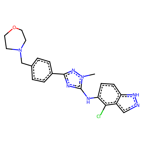 Cn1nc(-c2ccc(CN3CCOCC3)cc2)nc1Nc1ccc2[nH]ncc2c1Cl